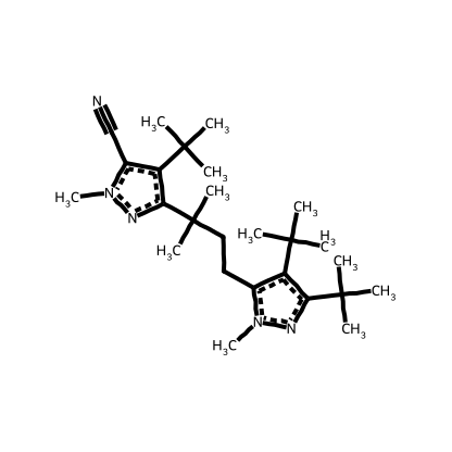 Cn1nc(C(C)(C)CCc2c(C(C)(C)C)c(C(C)(C)C)nn2C)c(C(C)(C)C)c1C#N